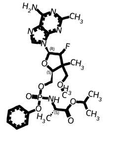 COCC1(C)C(F)[C@H](n2cnc3c(N)nc(C)nc32)O[C@@H]1COP(=O)(N[C@@H](C)C(=O)OC(C)C)Oc1ccccc1